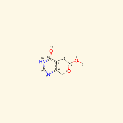 COC(=O)Cc1c(C)nc[nH]c1=O